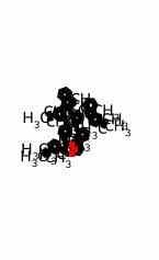 CC(C)(C)c1ccc2c(c1)C1(C)CCCCC1(C)N2c1ccc2c(c1)N(c1cccc3c1oc1ccccc13)c1cc(N3c4ccc(C(C)(C)C)cc4C4(C)CCCCC34C)cc3c1B2c1cc(C(C)(C)C)cc2c4c(n-3c12)C(C)(C)c1ccccc1-4